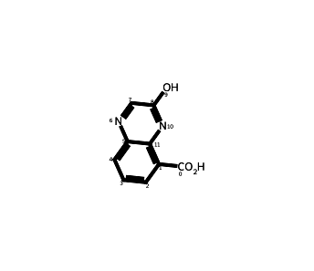 O=C(O)c1cccc2ncc(O)nc12